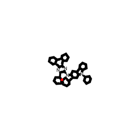 c1ccc(-c2nc3c4ccccc4c4ccccc4c3nc2-n2c3ccccc3c3cc4c(cc32)c2ccccc2n4-c2ccccc2)cc1